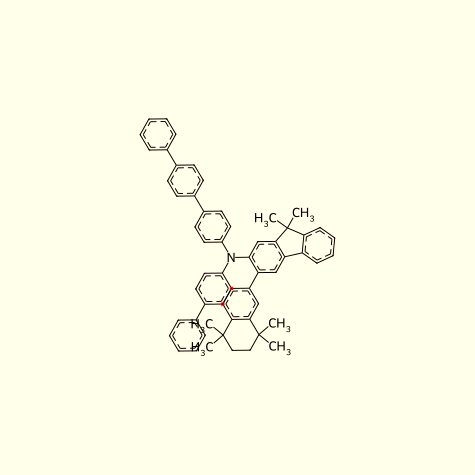 CC1(C)CCC(C)(C)c2cc(-c3cc4c(cc3N(c3ccc(-c5ccccc5)cc3)c3ccc(-c5ccc(-c6ccccc6)cc5)cc3)C(C)(C)c3ccccc3-4)ccc21